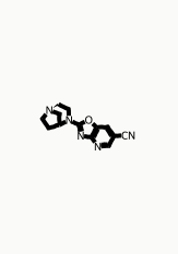 N#Cc1cnc2nc(N3CC[N@@]4CCC3C4)oc2c1